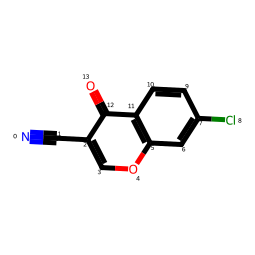 N#Cc1coc2cc(Cl)ccc2c1=O